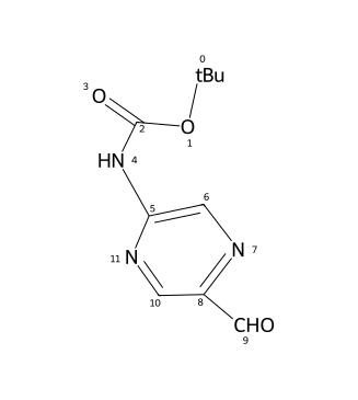 CC(C)(C)OC(=O)Nc1cnc(C=O)cn1